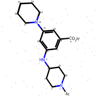 CC(=O)N1CCC(Nc2cc(C(=O)O)cc(N3CCCCC3)c2)CC1